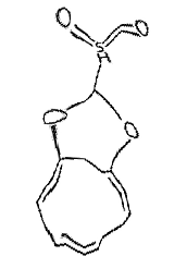 O=[SH](=O)C1Oc2ccccc2O1